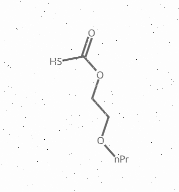 CCCOCCOC(=O)S